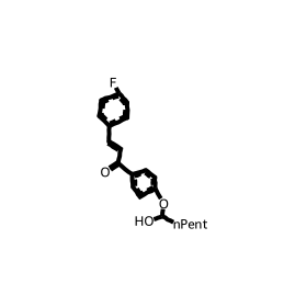 CCCCCC(O)Oc1ccc(C(=O)C=Cc2ccc(F)cc2)cc1